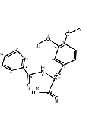 COc1ccc(/C=C(\NC(=O)c2ccccc2)C(=O)O)cc1OC